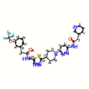 O=C(Cc1cccnc1)Nc1ccc(N2CCC(c3nnc(NC(=O)Cc4cccc(OC(F)(F)F)c4)s3)CC2)nn1